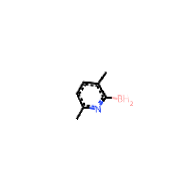 Bc1nc(C)ccc1C